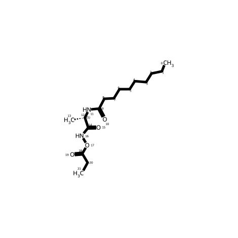 CCCCCCCCCC(=O)N[C@@H](C)C(=O)NOC(=O)CC